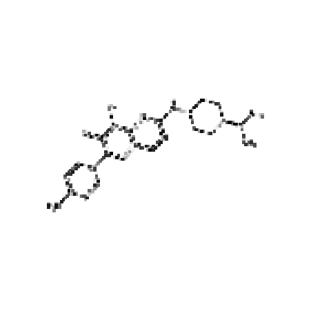 CC(C)n1c(=O)c(-c2ccc(N)nc2)cc2cnc(N[C@H]3CC[C@H](N(C)C)CC3)nc21